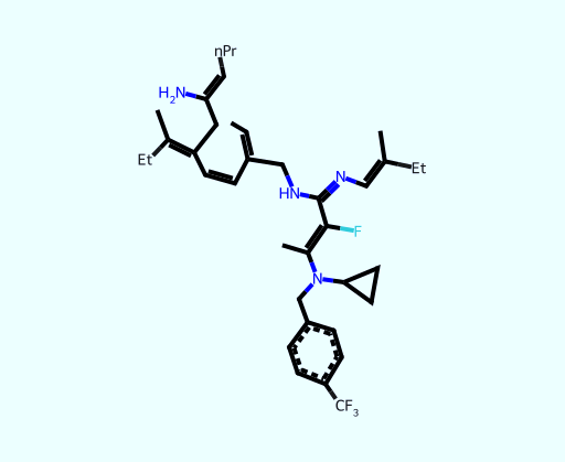 C\C=C(/C=C\C(C/C(N)=C/CCC)=C(\C)CC)CNC(=N/C=C(\C)CC)/C(F)=C(\C)N(Cc1ccc(C(F)(F)F)cc1)C1CC1